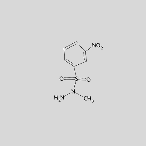 CN(N)S(=O)(=O)c1cccc([N+](=O)[O-])c1